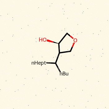 CCCCCCCC(CCCC)C1COC[C@@H]1O